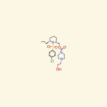 CCC[C@H]1CCC[C@@H](COC(=O)N2CCN(CCO)CC2)N1S(=O)(=O)c1ccc(Cl)cc1